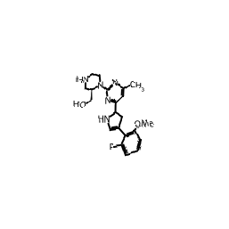 COc1cccc(F)c1C1=CNC(c2cc(C)nc(N3CCNC[C@@H]3CO)n2)C1